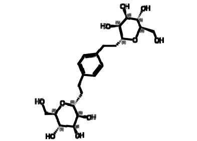 OC[C@H]1O[C@H](CCc2ccc(CC[C@H]3O[C@H](CO)[C@@H](O)[C@H](O)[C@@H]3O)cc2)[C@@H](O)[C@@H](O)[C@@H]1O